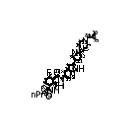 CCCS(=O)(=O)Nc1ccc(F)c(C(=O)Nc2cnc3[nH]c(-c4ccc(N5CCN(CC6CC6)CC5)nc4)cc3c2)c1F